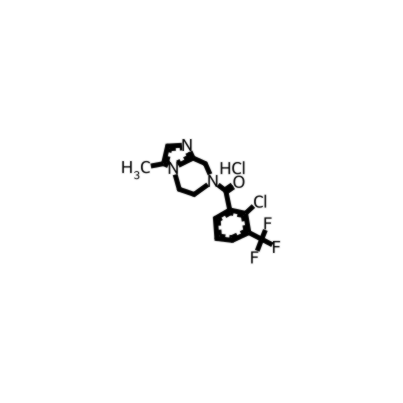 Cc1cnc2n1CCN(C(=O)c1cccc(C(F)(F)F)c1Cl)C2.Cl